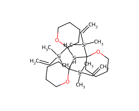 C=C[Si](C)(C)C1([SiH](C2([Si](C)(C)C=C)CCCCO2)C2([Si](C)(C)C=C)CCCCO2)CCCCO1